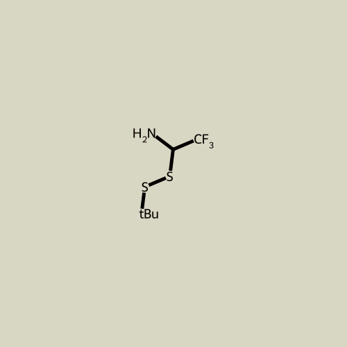 CC(C)(C)SSC(N)C(F)(F)F